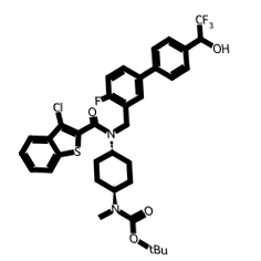 CN(C(=O)OC(C)(C)C)[C@H]1CC[C@H](N(Cc2cc(-c3ccc(C(O)C(F)(F)F)cc3)ccc2F)C(=O)c2sc3ccccc3c2Cl)CC1